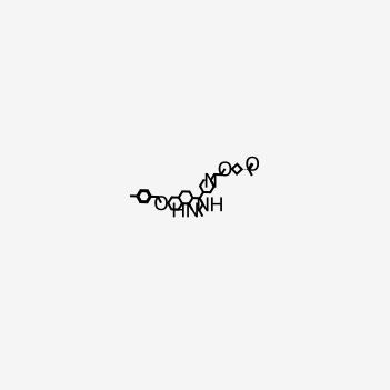 Cc1ccc(COC2CCC3C(CCC4C(C5CCN(CCO[C@H]6C[C@@H](C(C)=O)C6)CC5)NC(C)NC34)C2)cc1